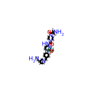 CC(C)(N)C(=O)N1CCN(C(=O)Nc2ccn(C3CCC(CN4CC[C@@H](CN)C4)CC3)c(=O)n2)CC1.Cl